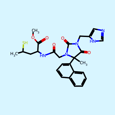 COC(=O)C(CC(C)S)NC(=O)CN1C(=O)N(Cc2cnc[nH]2)C(=O)C1(C)c1cccc2ccccc12